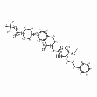 COC(=O)[C@H](CCCc1ccccc1)NC(=O)CN1CCc2ccc(N3CCN(C(=O)OC(C)(C)C)CC3)cc2C1=O